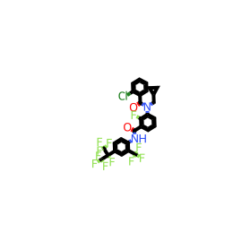 O=C(Nc1ccc(C(F)(C(F)(F)F)C(F)(F)F)cc1C(F)(F)F)c1cccc(N(CC2CC2)C(=O)c2ccccc2Cl)c1F